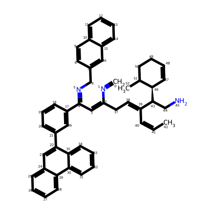 C=N/C(=C\C(=N/Cc1ccc2ccccc2c1)c1cccc(-c2cc3ccccc3c3ccccc23)c1)C/C=C(\C=C/C)C(CN)[C@@H]1C=CCCC1C